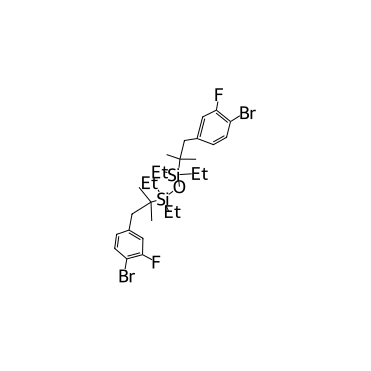 CC[Si](CC)(O[Si](CC)(CC)C(C)(C)Cc1ccc(Br)c(F)c1)C(C)(C)Cc1ccc(Br)c(F)c1